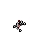 c1ccc(-c2ccc(N(c3ccccc3)c3ccc4c(c3)C3(c5ccccc5Oc5c(-c6ccccc6)cccc53)c3ccccc3-4)cc2)cc1